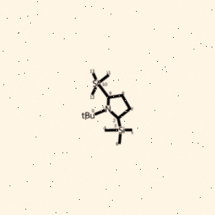 CC(C)(C)N1C([Si](C)(C)C)CCC1[Si](C)(C)C